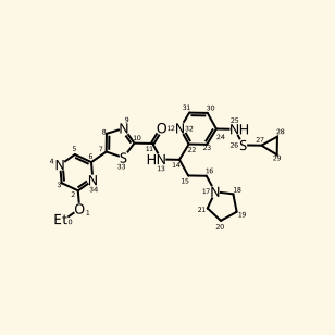 CCOc1cncc(-c2cnc(C(=O)NC(CCN3CCCC3)c3cc(NSC4CC4)ccn3)s2)n1